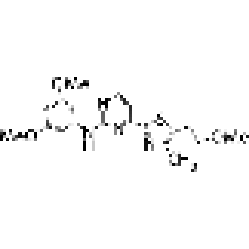 COCCc1sc(-c2ccnc(Nc3cc(OC)cc(OC)c3)n2)nc1C